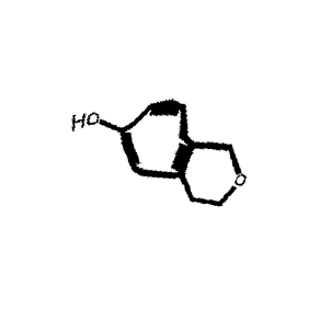 Oc1ccc2c(c1)CCOC2